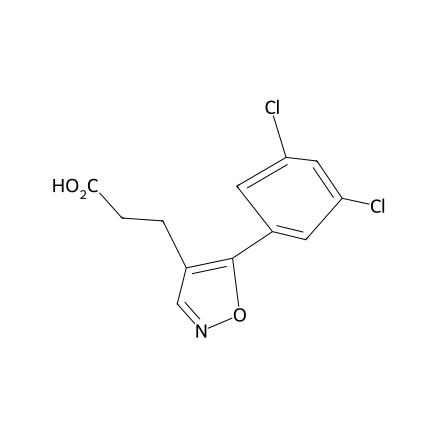 O=C(O)CCc1cnoc1-c1cc(Cl)cc(Cl)c1